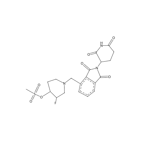 CS(=O)(=O)OC1CCN(Cc2cccc3c2C(=O)N(C2CCC(=O)NC2=O)C3=O)CC1F